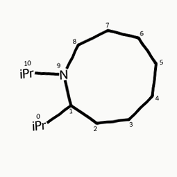 CC(C)C1CCCCCCCN1C(C)C